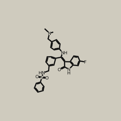 CN(C)Cc1ccc(NC(=C2C(=O)Nc3cc(F)ccc32)c2cccc(CNS(=O)(=O)c3ccccc3)c2)cc1